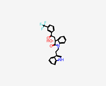 O=C(C[C@]1(O)C(=O)N(CCc2c[nH]c3ccccc23)c2ccccc21)c1cccc(C(F)(F)F)c1